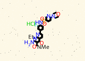 CCn1c(N)c(C(=O)NC)c(=O)c2ccc(-c3ccc(NS(=O)(=O)c4ccc(N5CCOCC5)nc4)c(F)c3)nc21.Cl